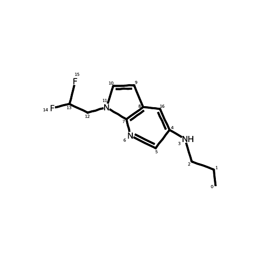 CCCNc1cnc2c(ccn2CC(F)F)c1